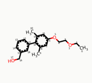 CCOCCOc1cc(C)c(-c2cccc(CO)c2)c(C)c1